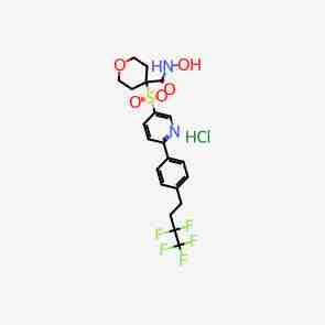 Cl.O=C(NO)C1(S(=O)(=O)c2ccc(-c3ccc(CCC(F)(F)C(F)(F)F)cc3)nc2)CCOCC1